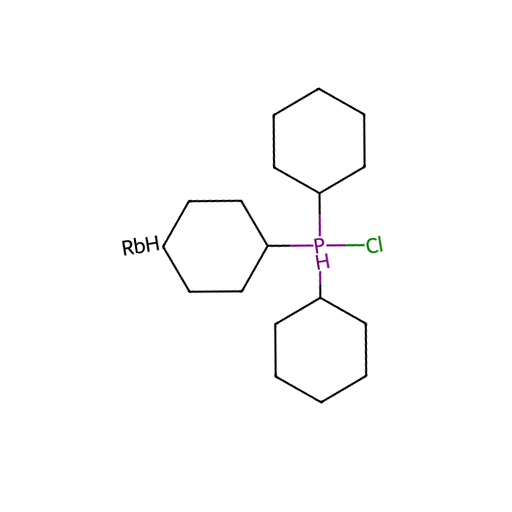 Cl[PH](C1CCCCC1)(C1CCCCC1)C1CCCCC1.[RbH]